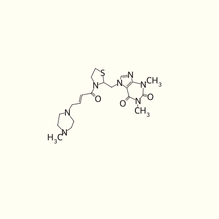 CN1CCN(CC=CC(=O)N2CCSC2Cn2cnc3c2c(=O)n(C)c(=O)n3C)CC1